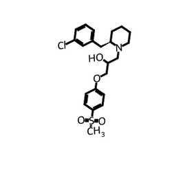 CS(=O)(=O)c1ccc(OCC(O)CN2CCCC[C@@H]2Cc2cccc(Cl)c2)cc1